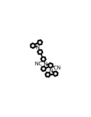 N#Cc1cc(-c2ccc(-n3c4ccccc4c4ccccc43)cc2)ccc1-n1c2ccccc2c2c(-n3c4ccccc4c4ccccc43)c(C#N)ccc21